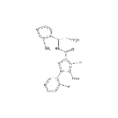 COc1c(Cl)c(C(=O)N[C@@H](CC(=O)O)c2ccccc2C)nn1-c1ccccc1F